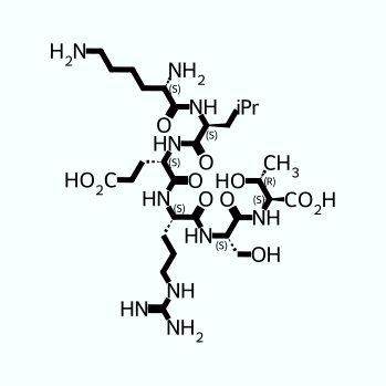 CC(C)C[C@H](NC(=O)[C@@H](N)CCCCN)C(=O)N[C@@H](CCC(=O)O)C(=O)N[C@@H](CCCNC(=N)N)C(=O)N[C@@H](CO)C(=O)N[C@H](C(=O)O)[C@@H](C)O